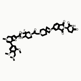 COc1cc(C2=CN(C)Cc3cc(C(=O)NC4CCN(C(=O)CN5CCC6(CC5)CN(c5ccc7c(c5)C(=O)N(C5CCC(=O)NC5=O)C7=O)C6)CC4(F)F)sc32)cc(OC)c1CN(C)C